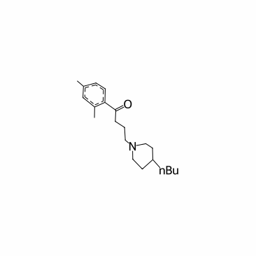 CCCCC1CCN(CCCC(=O)c2ccc(C)cc2C)CC1